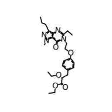 CCCc1nn(C)c2c(=O)n(CCOc3ccc(CC(OCC)C(=O)OCC)cc3)c(CC)nc12